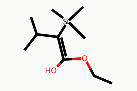 CCOC(O)=C(C(C)C)[Si](C)(C)C